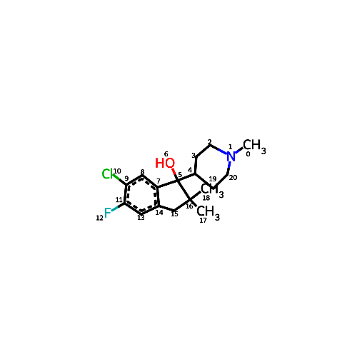 CN1CCC(C2(O)c3cc(Cl)c(F)cc3CC2(C)C)CC1